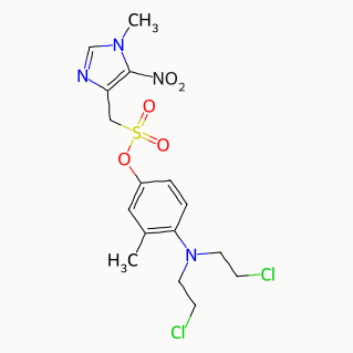 Cc1cc(OS(=O)(=O)Cc2ncn(C)c2[N+](=O)[O-])ccc1N(CCCl)CCCl